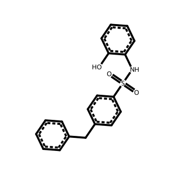 O=S(=O)(Nc1ccccc1O)c1ccc(Cc2ccccc2)cc1